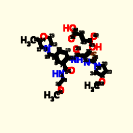 COCCNC(=O)c1cc(CN2CCO[C@@H](C)C2)ccc1NC(=O)c1csc(N2CC[C@H](OC)C2)n1.O=C(O)/C=C/C(=O)O